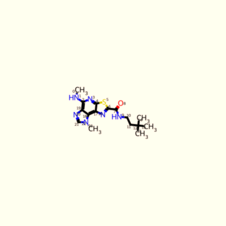 CNc1nc2sc(C(=O)NCCC(C)(C)C)nc2c2c1ncn2C